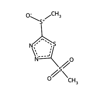 C[S+]([O-])c1nnc(S(C)(=O)=O)s1